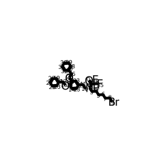 O=C(N(CCCCCCBr)CCc1ccc(OCc2ccccc2)c(OCc2ccccc2)c1)C(F)(F)F